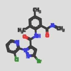 C=NC(=O)c1cc(C)cc(C)c1NC(=O)c1cc(Br)nn1-c1ncccc1Cl